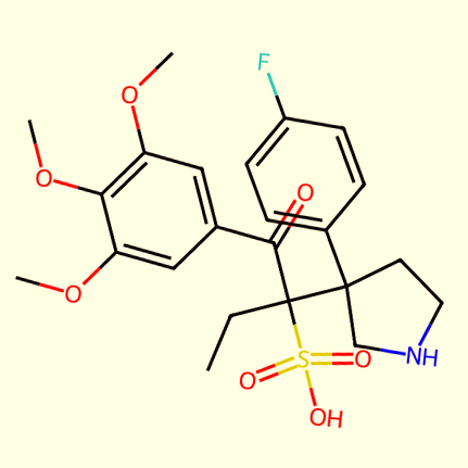 CCC(C(=O)c1cc(OC)c(OC)c(OC)c1)(C1(c2ccc(F)cc2)CCNC1)S(=O)(=O)O